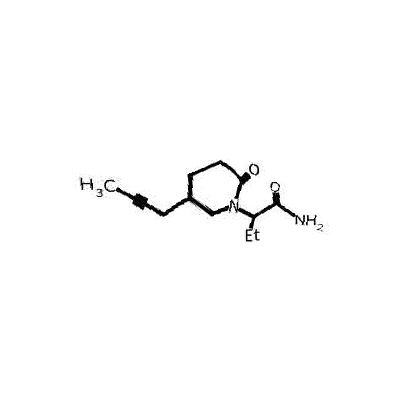 CC#CCC1CCC(=O)N(C(CC)C(N)=O)C1